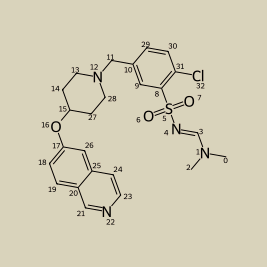 CN(C)/C=N/S(=O)(=O)c1cc(CN2CCC(Oc3ccc4cnccc4c3)CC2)ccc1Cl